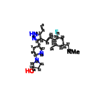 C=Cc1[nH]nc(-c2ccc(N3CCC(O)C3)nc2)c1/C=C(\C)c1c(C)cc(CNC)cc1F